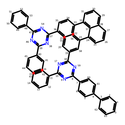 c1ccc(-c2ccc(-c3nc(-c4ccccc4)nc(-c4cccc(-c5cccc6cccc(-c7ccc(-c8nc(-c9ccccc9)nc(-c9ccccc9)n8)cc7)c56)c4)n3)cc2)cc1